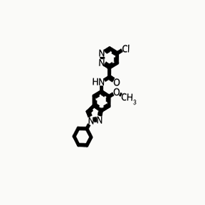 COc1cc2nn(C3CCCCC3)cc2cc1NC(=O)c1cc(Cl)cnn1